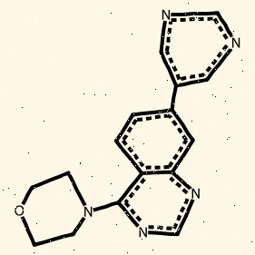 c1ncc(-c2ccc3c(N4CCOCC4)ncnc3c2)cn1